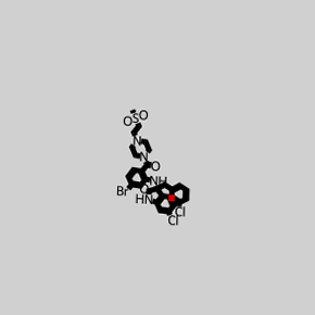 CS(=O)(=O)CCN1CCN(C(=O)c2ccc(Br)cc2NC2(Cc3cccc(Cl)c3)C(=O)Nc3cc(Cl)ccc32)CC1